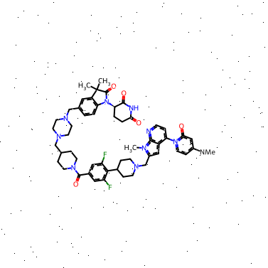 CNc1ccn(-c2ccnc3c2cc(CN2CCC(c4c(F)cc(C(=O)N5CCC(CN6CCN(Cc7ccc8c(c7)C(C)(C)C(=O)N8[C@@H]7CCC(=O)NC7=O)CC6)CC5)cc4F)CC2)n3C)c(=O)c1